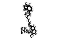 O=C1CCc2ccc(OCCCCN3CCN(c4cccc5sccc45)CC3)cc2N1COCC(F)(F)F